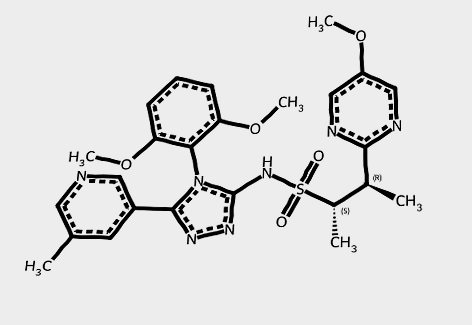 COc1cnc([C@@H](C)[C@H](C)S(=O)(=O)Nc2nnc(-c3cncc(C)c3)n2-c2c(OC)cccc2OC)nc1